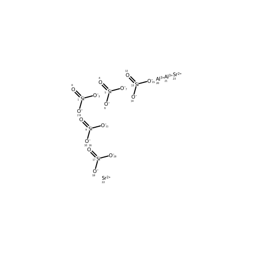 O=[Si]([O-])[O-].O=[Si]([O-])[O-].O=[Si]([O-])[O-].O=[Si]([O-])[O-].O=[Si]([O-])[O-].[Al+3].[Al+3].[Sr+2].[Sr+2]